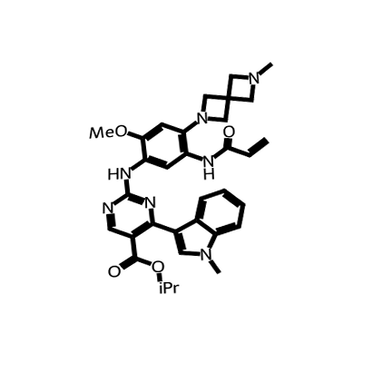 C=CC(=O)Nc1cc(Nc2ncc(C(=O)OC(C)C)c(-c3cn(C)c4ccccc34)n2)c(OC)cc1N1CC2(CN(C)C2)C1